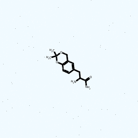 CC1(C)OCc2cc(CC(N)C(N)=O)ccc2O1